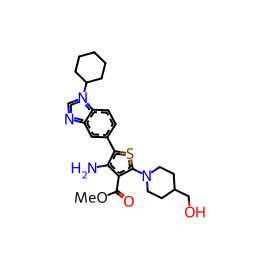 COC(=O)c1c(N2CCC(CO)CC2)sc(-c2ccc3c(c2)ncn3C2CCCCC2)c1N